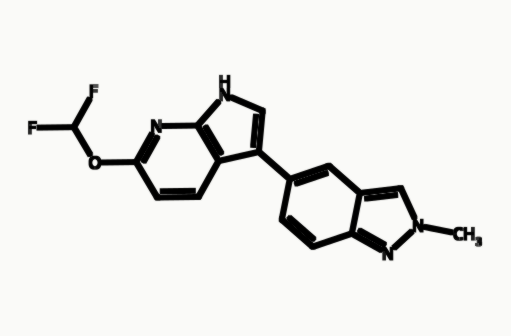 Cn1cc2cc(-c3c[nH]c4nc(OC(F)F)ccc34)ccc2n1